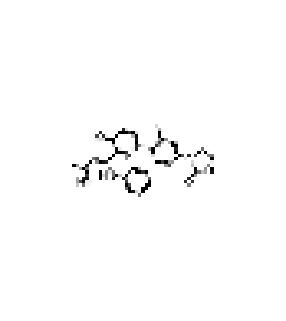 CC(=N)/C=C(\Nc1ccccc1)c1nn(-c2ccc(N3CCOC3=O)cc2C)ccc1=O